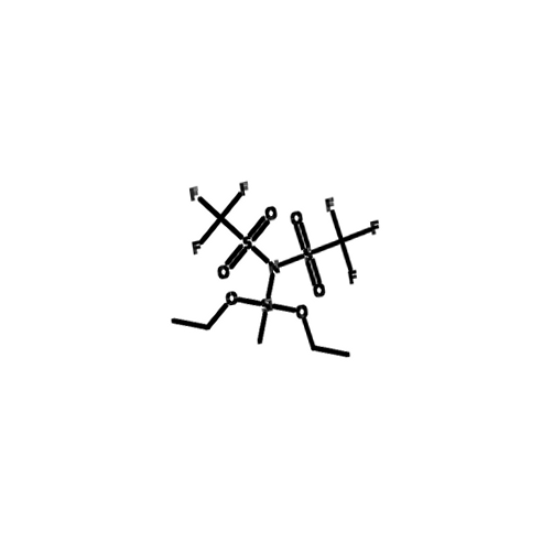 CCO[Si](C)(OCC)N(S(=O)(=O)C(F)(F)F)S(=O)(=O)C(F)(F)F